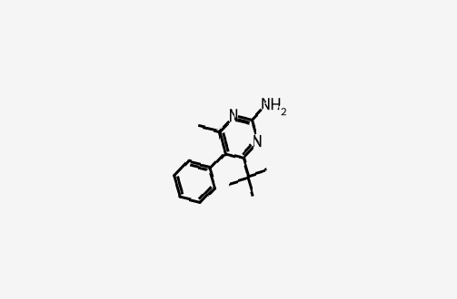 Cc1nc(N)nc(C(C)(C)C)c1-c1ccccc1